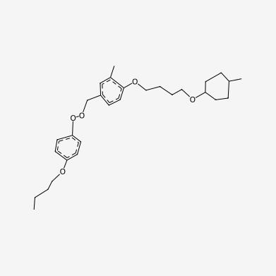 CCCCOc1ccc(OOCc2ccc(OCCCCOC3CCC(C)CC3)c(C)c2)cc1